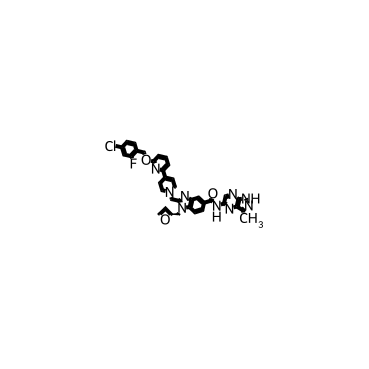 Cc1n[nH]c2ncc(NC(=O)c3ccc4c(c3)nc(CN3CC=C(c5cccc(OCc6ccc(Cl)cc6F)n5)CC3)n4C[C@@H]3CCO3)nc12